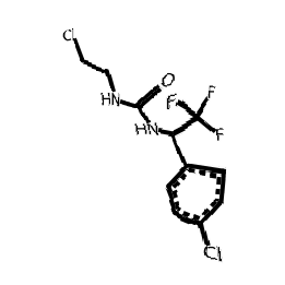 O=C(NCCCl)NC(c1ccc(Cl)cc1)C(F)(F)F